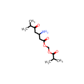 CC(C)C(=O)CC(N)CC(=O)OCOC(=O)C(C)C